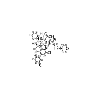 CC(C)C(NC(=O)C(NC(=O)CC(Oc1ccc(Cl)cc1)c1ccc(Cl)c(Cl)c1)c1ccccc1)C(=O)C(F)(F)C(=O)NCCN1CCOCC1